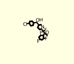 OC(c1ccc(Cl)cc1)c1ccc(C(F)(F)C2(c3ccc(F)cc3F)CO2)nc1